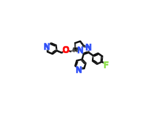 Fc1ccc(-c2nc3n(c2-c2ccncc2)[C@H](COCc2ccncc2)CC3)cc1